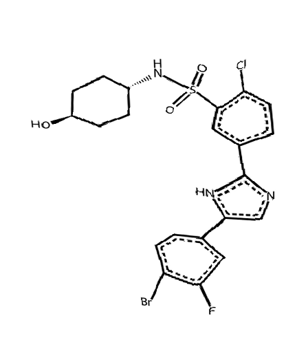 O=S(=O)(N[C@H]1CC[C@H](O)CC1)c1cc(-c2ncc(-c3ccc(Br)c(F)c3)[nH]2)ccc1Cl